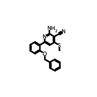 CSc1cc(-c2ccccc2OCc2ccccc2)nc(N)c1C#N